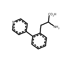 NC(Cc1ccccc1-c1ccncc1)C(=O)O